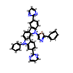 c1ccc(-c2ncc(-n3c4ccc(-c5ncccn5)cc4c4ccc5c(c6ccc(-c7ncccn7)cc6n5-c5ccccc5)c43)s2)cc1